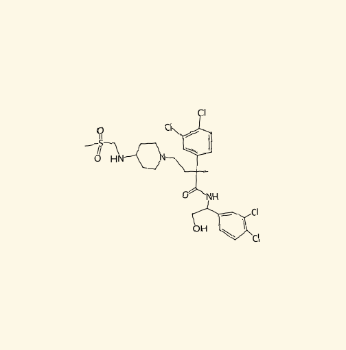 CC(CCN1CCC(NCS(C)(=O)=O)CC1)(C(=O)NC(CO)c1ccc(Cl)c(Cl)c1)c1ccc(Cl)c(Cl)c1